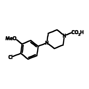 COc1cc(N2CCN(C(=O)O)CC2)ccc1Cl